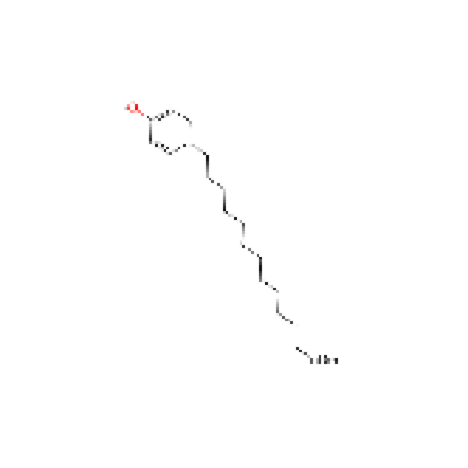 CCCCCCCCCCCCCCCCCCCCCCc1ccc([O])cc1